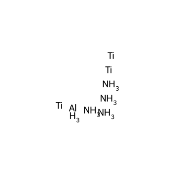 N.N.N.N.[AlH3].[Ti].[Ti].[Ti]